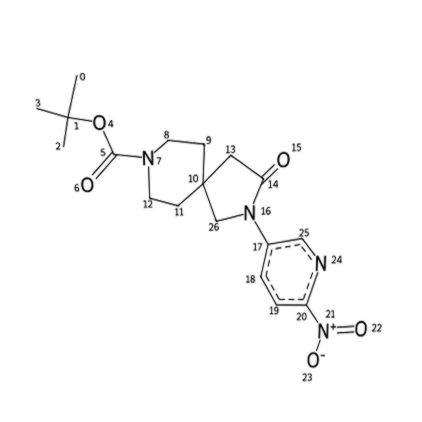 CC(C)(C)OC(=O)N1CCC2(CC1)CC(=O)N(c1ccc([N+](=O)[O-])nc1)C2